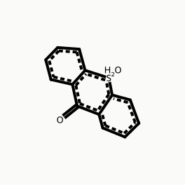 O.O=c1c2ccccc2sc2ccccc12